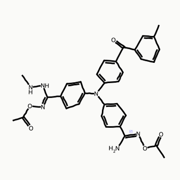 CNNC(=NOC(C)=O)c1ccc(N(c2ccc(C(=O)c3cccc(C)c3)cc2)c2ccc(/C(N)=N/OC(C)=O)cc2)cc1